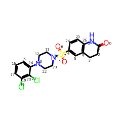 O=C1CCc2cc(S(=O)(=O)N3CCN(c4cccc(Cl)c4Cl)CC3)ccc2N1